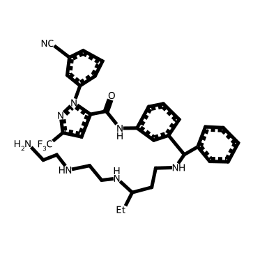 CCC(CCNC(c1ccccc1)c1cccc(NC(=O)c2cc(C(F)(F)F)nn2-c2cccc(C#N)c2)c1)NCCNCCN